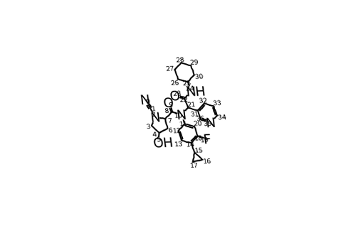 N#CN1CC(O)CC1C(=O)N(c1ccc(C2CC2)c(F)c1)C(C(=O)NC1CCCCC1)c1cccnc1